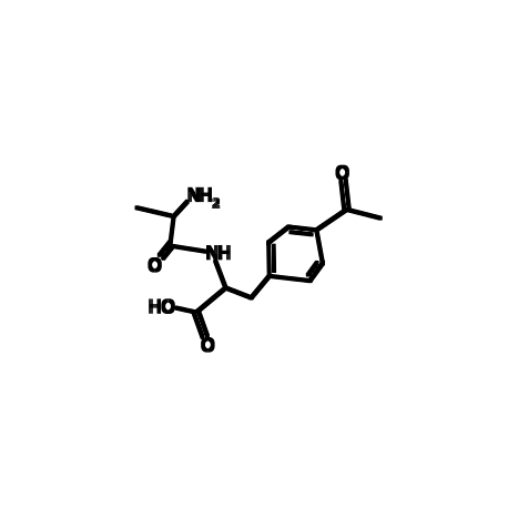 CC(=O)c1ccc(CC(NC(=O)C(C)N)C(=O)O)cc1